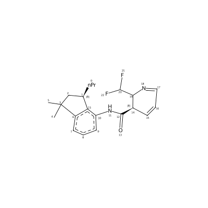 CCC[C@@H]1CC(C)(C)c2cccc(NC(=O)[C@@H]3C=CC=NC3C(F)F)c21